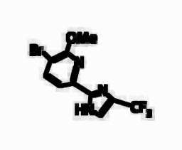 COc1nc(-c2nc(C(F)(F)F)c[nH]2)ccc1Br